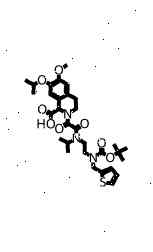 COc1cc2c(cc1OC(C)C)C(C(=O)O)N(C(=O)C(=O)N(CCN(Cc1cccs1)C(=O)OC(C)(C)C)C(C)C)CC2